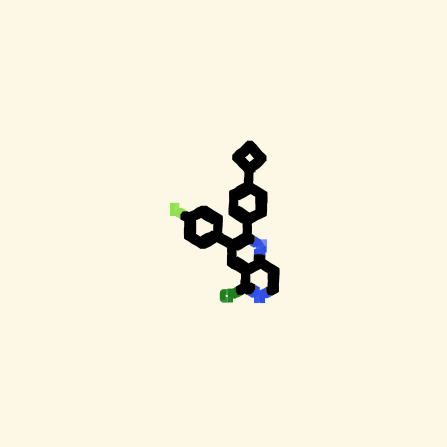 Fc1ccc(-c2cc3c(Cl)nccc3nc2-c2ccc([C]3CCC3)cc2)cc1